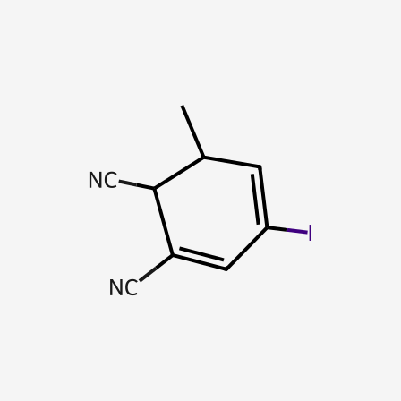 CC1C=C(I)C=C(C#N)C1C#N